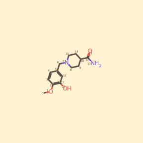 COc1ccc(CN2CCC(C(N)=O)CC2)cc1O